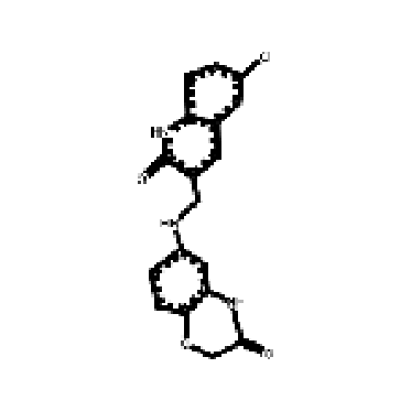 O=C1COc2ccc(NCc3cc4cc(Cl)ccc4[nH]c3=O)cc2N1